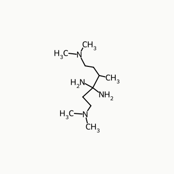 CC(CCN(C)C)C(N)(N)CCN(C)C